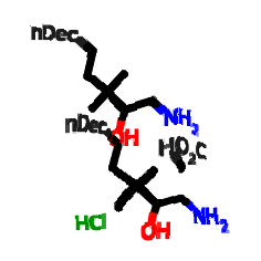 CC(=O)O.CCCCCCCCCCCCC(C)(C)C(O)CN.CCCCCCCCCCCCC(C)(C)C(O)CN.Cl